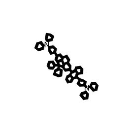 c1ccc(N(c2ccccc2)c2ccc(-c3cc4c5c(ccc6cc(-c7c8ccccc8c(-c8ccc(N(c9ccccc9)c9ccccc9)cc8)c8ccccc78)cc(c65)C4(c4ccccc4)c4ccccc4)c3)cc2)cc1